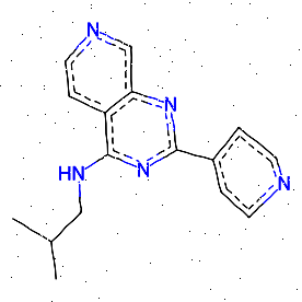 CC(C)CNc1nc(-c2ccncc2)nc2cnccc12